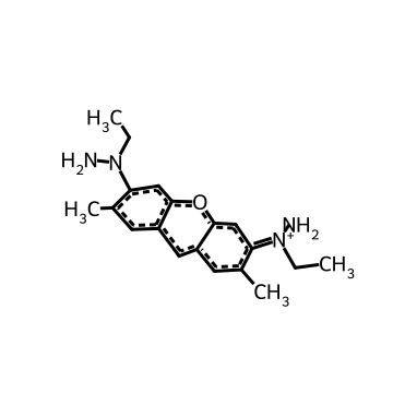 CCN(N)c1cc2oc3c/c(=[N+](\N)CC)c(C)cc-3cc2cc1C